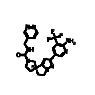 Nc1ncc(-c2cc3n(n2)CC[C@@]32CCN(C(=O)NCc3ccnnc3)C2)cc1C(F)(F)F